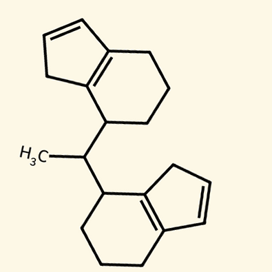 CC(C1CCCC2=C1CC=C2)C1CCCC2=C1CC=C2